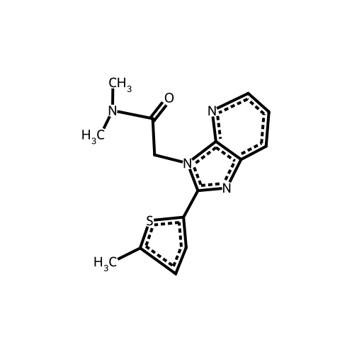 Cc1ccc(-c2nc3cccnc3n2CC(=O)N(C)C)s1